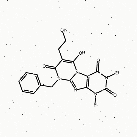 CCn1c(=O)c2c(nc3n(Cc4ccccc4)c(=O)c(CCO)c(O)n23)n(CC)c1=O